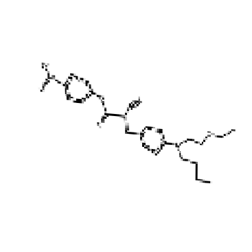 CCCCN(CCOCC)c1ccc(/C=C(\C#N)C(=O)Oc2ccc([N+](=O)[O-])cc2)cc1